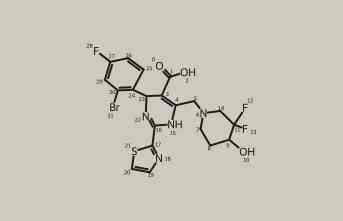 O=C(O)C1=C(CN2CCC(O)C(F)(F)C2)NC(c2nccs2)=NC1c1ccc(F)cc1Br